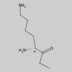 CCC(=O)[C@H](N)CCCCN